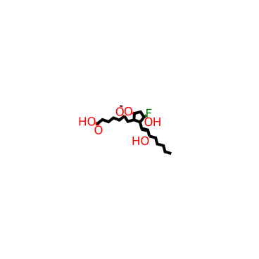 CCCCCC(O)/C=C/C1C2CC(CCCCC(=O)O)(OC)OC2CC1(O)F